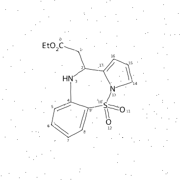 CCOC(=O)CC1Nc2ccccc2S(=O)(=O)n2cccc21